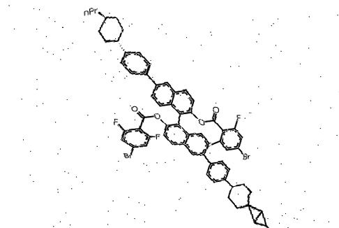 CCC[C@H]1CC[C@H](c2ccc(-c3ccc4c(-c5c(OC(=O)c6c(F)cc(Br)cc6F)ccc6cc(-c7ccc(C8CCC9(CC8)C8C(C)C89)cc7)ccc56)c(OC(=O)c5c(F)cc(Br)cc5F)ccc4c3)cc2)CC1